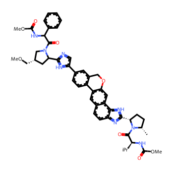 COC[C@H]1CC(c2ncc(-c3ccc4c(c3)COc3cc5c(ccc6nc([C@@H]7CC[C@H](C)N7C(=O)[C@@H](NC(=O)OC)C(C)C)[nH]c65)cc3-4)[nH]2)N(C(=O)C(NC(=O)OC)c2ccccc2)C1